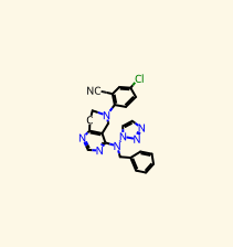 N#Cc1cc(Cl)ccc1N1CCc2ncnc(N(Cc3ccccc3)n3ccnn3)c2C1